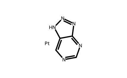 [Pt].c1ncc2[nH]nnc2n1